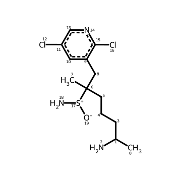 CC(N)CCCC(C)(Cc1cc(Cl)cnc1Cl)[S+](N)[O-]